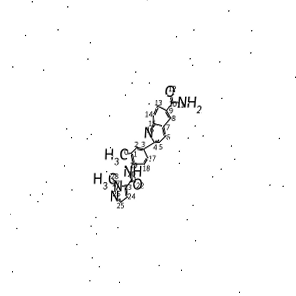 Cc1cc(-c2ccc3cc(C(N)=O)ccc3n2)ccc1NC(=O)c1ccnn1C